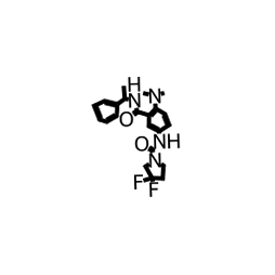 CC(NC(=O)c1cc(NC(=O)N2CCC(F)(F)C2)ccc1N(C)C)c1ccccc1